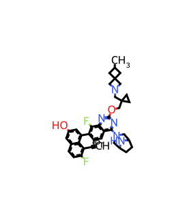 C#Cc1c(F)ccc2cc(O)cc(-c3c(C(C)C)cc4c(N5CC6CCC(C5)N6)nc(OCC5(CN6CC7(CC(C)C7)C6)CC5)nc4c3F)c12